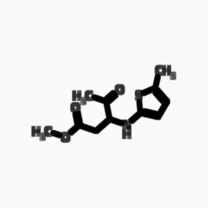 COC(=O)CC(Nc1ccc(C)s1)C(C)=O